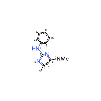 CNc1cc(C)nc(Nc2ccccc2)n1